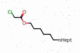 CCCCCCCCCCCCCOC(=O)CCl